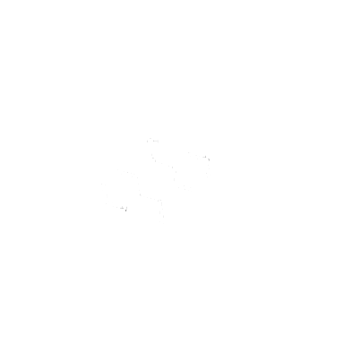 COc1cnccc1C(=O)c1ccccn1